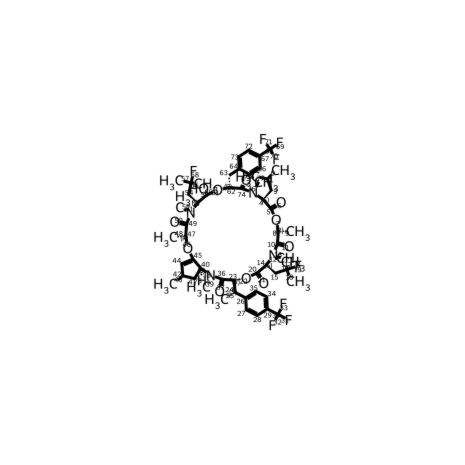 CC(C)C[C@H]1C(=O)O[C@H](C)C(=O)N(C)[C@@H](CC(C)(C)F)C(=O)O[C@H]([C@@H](C)c2ccc(C(F)(F)F)cc2)C(=O)N(C)[C@H]2CC(C)C=C2O[C@H](C)C(=O)N(C)[C@@H](CC(C)(C)F)C(O)O[C@H](Cc2ccc(C(F)(F)F)cc2)C(=O)N1C